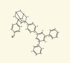 Brc1ccc(C23CC4CC(C2)CC(c2ccc(-c5cc(-c6ccccc6)nc(-c6ccccc6)n5)cc2)(C4)C3)cc1